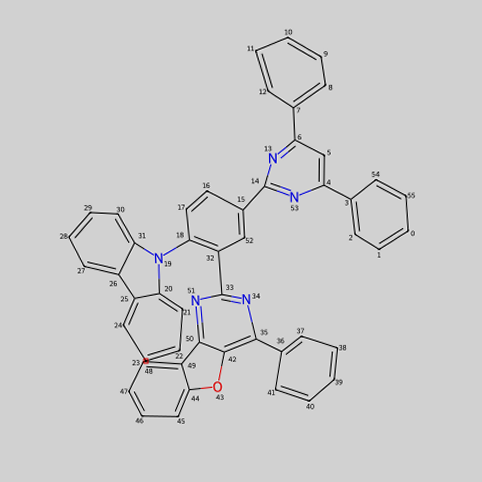 c1ccc(-c2cc(-c3ccccc3)nc(-c3ccc(-n4c5ccccc5c5ccccc54)c(-c4nc(-c5ccccc5)c5oc6ccccc6c5n4)c3)n2)cc1